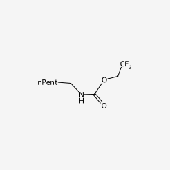 CCCCCCNC(=O)OCC(F)(F)F